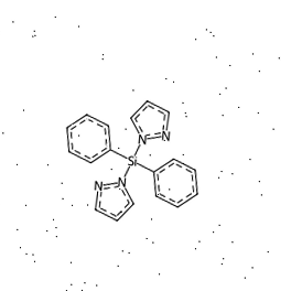 c1ccc([Si](c2ccccc2)(n2cccn2)n2cccn2)cc1